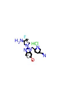 COc1ccc2nc(N3CC[C@@H](F)[C@H](N)C3)n(Cc3ccc(C#N)cn3)c2c1.Cl